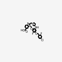 CCn1c(CN2CC[C@@H](Nc3ccc(F)c(OCc4ccc(Cl)cc4F)c3)C2)nc2ccc(C(=O)O)cc21